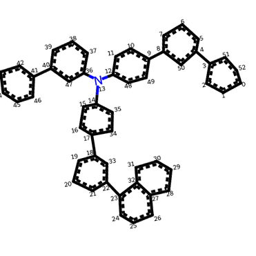 c1ccc(-c2cccc(-c3ccc(N(c4ccc(-c5cccc(-c6cccc7ccccc67)c5)cc4)c4cccc(-c5ccccc5)c4)cc3)c2)cc1